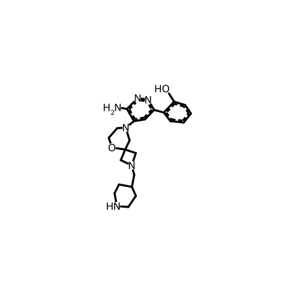 Nc1nnc(-c2ccccc2O)cc1N1CCOC2(CN(CC3CCNCC3)C2)C1